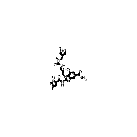 CCn1nc(C)cc1C(=O)Nc1nc2cc(C(N)=O)cc(OC)c2n1CCCNC(=O)N(C)Cc1cnn(C)c1